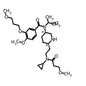 COCCCOc1cc(C(=O)N(C(C)C)[C@@H]2CC[C@H](CCN(C(=O)CCOC)C3CC3)NC2)ccc1OC.Cl